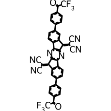 N#CC(C#N)=C1c2cc(-c3ccc(C(=O)C(F)(F)F)cc3)ccc2-c2nc3c(nc21)-c1ccc(-c2ccc(C(=O)C(F)(F)F)cc2)cc1C3=C(C#N)C#N